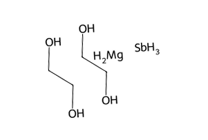 OCCO.OCCO.[MgH2].[SbH3]